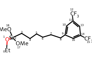 CCO[Si](CCCCCCc1cc(C(F)(F)F)cc(C(F)(F)F)c1)(OC)OC